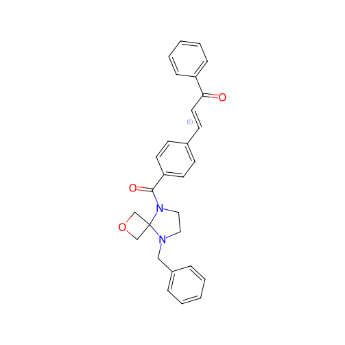 O=C(/C=C/c1ccc(C(=O)N2CCN(Cc3ccccc3)C23COC3)cc1)c1ccccc1